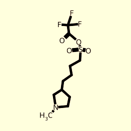 CN1CCC(CCCCS(=O)(=O)OC(=O)C(F)(F)F)C1